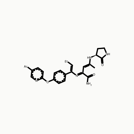 CC/C=C(/N=C(\C=C(/C)N[C@H]1CCNC1=O)C(N)=O)c1ccc(Oc2ccc(C(C)=O)cn2)cc1